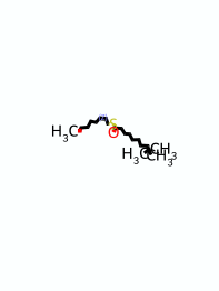 CCCCCC/C=C\CSC(=O)CCCCCCCC(C)(C)C